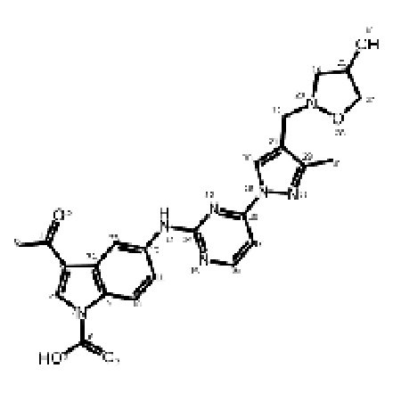 CC(=O)c1cn(C(=O)O)c2ccc(Nc3nccc(-n4cc(CN5CC(O)CO5)c(C)n4)n3)cc12